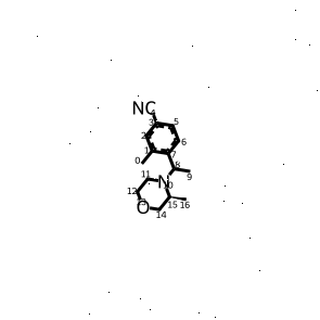 Cc1cc(C#N)ccc1C(C)N1CCOC[C@@H]1C